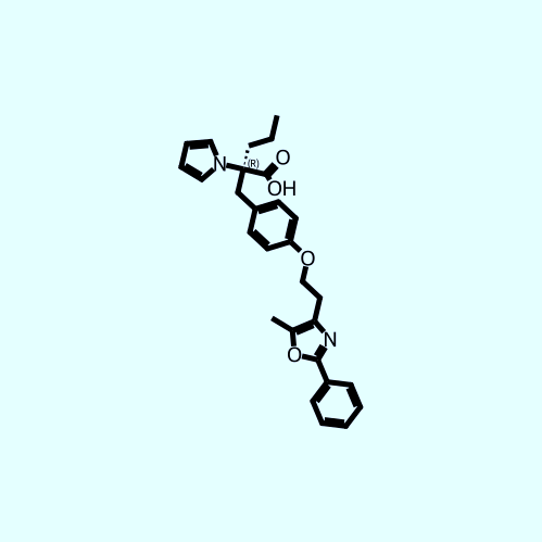 CCC[C@@](Cc1ccc(OCCc2nc(-c3ccccc3)oc2C)cc1)(C(=O)O)n1cccc1